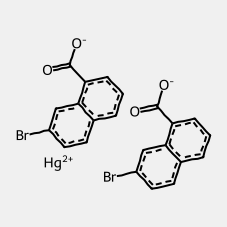 O=C([O-])c1cccc2ccc(Br)cc12.O=C([O-])c1cccc2ccc(Br)cc12.[Hg+2]